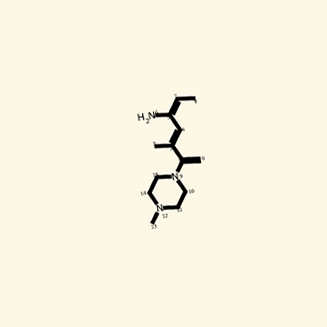 C=C(/C(C)=C/C(N)=C\C)N1CCN(C)CC1